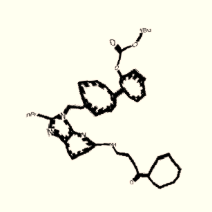 CCCc1nc2ccc(NCCC(=O)C3CCCCC3)nc2n1Cc1ccc(-c2ccccc2OC(=O)OC(C)(C)C)cc1